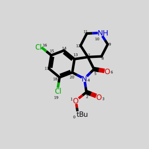 CC(C)(C)OC(=O)N1C(=O)C2(CCNCC2)c2cc(Cl)cc(Cl)c21